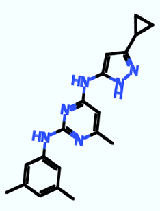 Cc1cc(C)cc(Nc2nc(C)cc(Nc3cc(C4CC4)n[nH]3)n2)c1